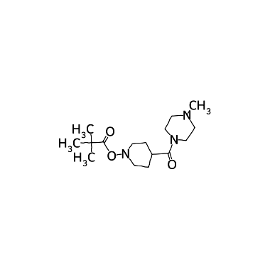 CN1CCN(C(=O)C2CCN(OC(=O)C(C)(C)C)CC2)CC1